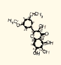 COc1cc(OC)cc(-c2oc3cc(O)c(O)c(O)c3c(=O)c2O)c1